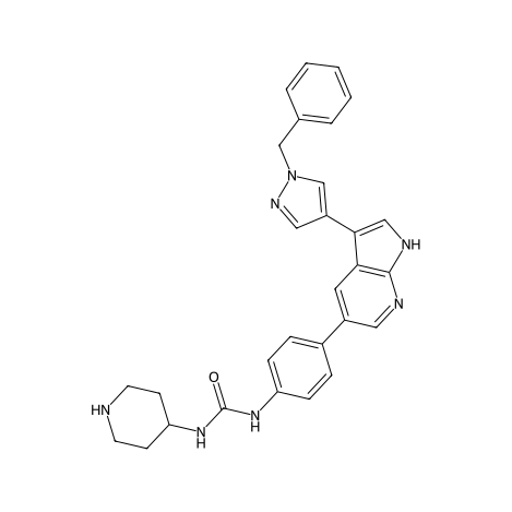 O=C(Nc1ccc(-c2cnc3[nH]cc(-c4cnn(Cc5ccccc5)c4)c3c2)cc1)NC1CCNCC1